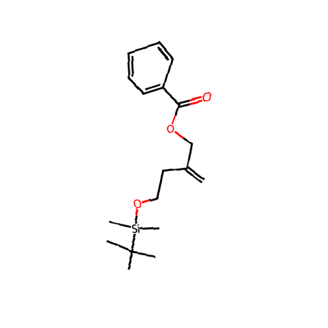 C=C(CCO[Si](C)(C)C(C)(C)C)COC(=O)c1ccccc1